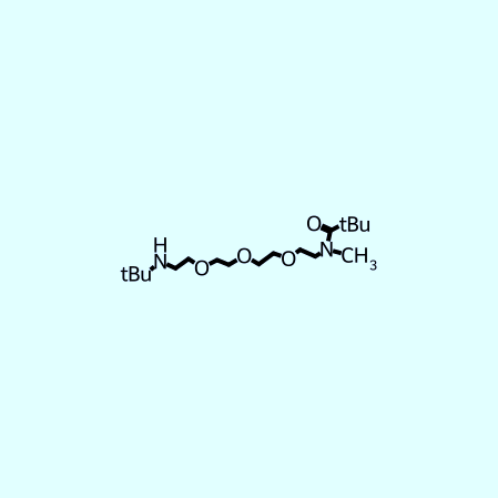 CN(CCOCCOCCOCCNC(C)(C)C)C(=O)C(C)(C)C